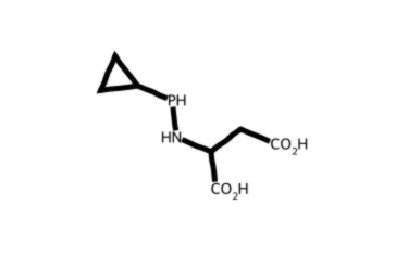 O=C(O)CC(NPC1CC1)C(=O)O